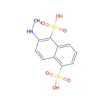 CNc1ccc2c(S(=O)(=O)O)cccc2c1S(=O)(=O)O